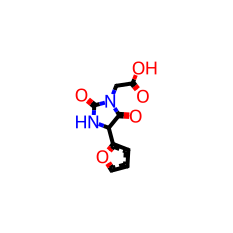 O=C(O)CN1C(=O)NC(c2ccco2)C1=O